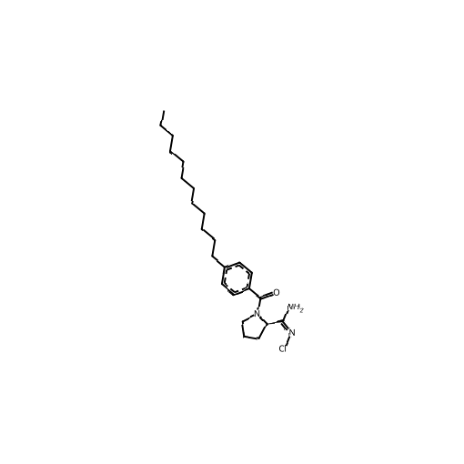 CCCCCCCCCCCCc1ccc(C(=O)N2CCC[C@@H]2/C(N)=N\Cl)cc1